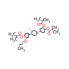 C=C(C)C(=O)Oc1ccc(-c2ccc(-c3ccc(OC(=O)C(=C)C)c(OC(=O)C(=C)C)c3)cc2F)cc1OC/C=C/C